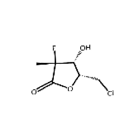 C[C@]1(F)C(=O)O[C@@H](CCl)[C@H]1O